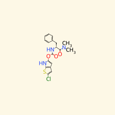 CN(C)C(=O)[C@H](Cc1ccccc1)NC(=O)Oc1cc2cc(Cl)sc2[nH]1